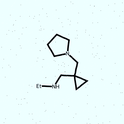 CCNCC1(CN2CCCC2)CC1